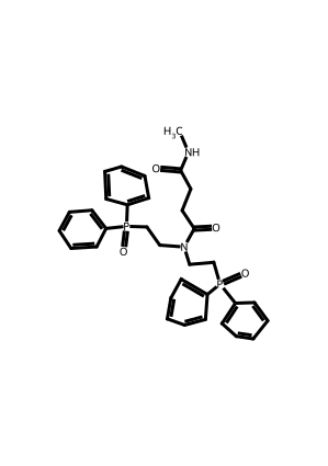 CNC(=O)CCC(=O)N(CCP(=O)(c1ccccc1)c1ccccc1)CCP(=O)(c1ccccc1)c1ccccc1